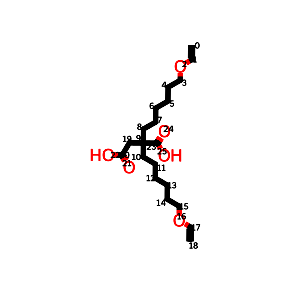 C=COCCCCCCC(CCCCCCOC=C)(CC(=O)O)C(=O)O